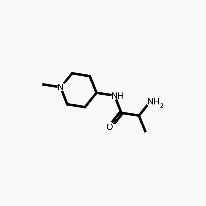 CC(N)C(=O)NC1CCN(C)CC1